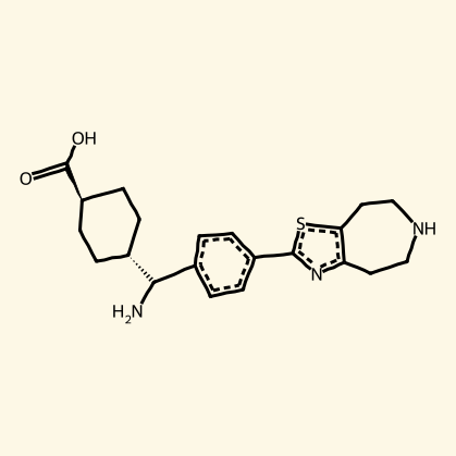 NC(c1ccc(-c2nc3c(s2)CCNCC3)cc1)[C@H]1CC[C@H](C(=O)O)CC1